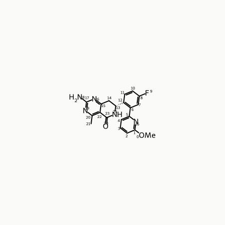 COc1cccc(-c2cc(F)ccc2[C@H]2Cc3nc(N)nc(C)c3C(=O)N2)n1